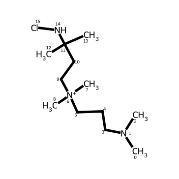 CN(C)CCC[N+](C)(C)CCC(C)(C)NCl